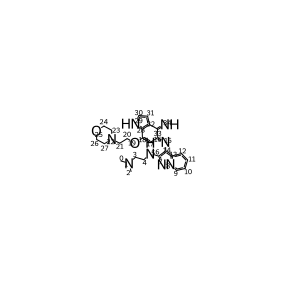 CN(C)CCNc1nn2ccccc2c1N=C1C=C(OCCN2CCOCC2)c2[nH]ccc2C1=N